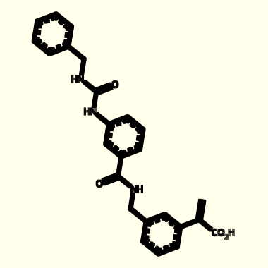 C=C(C(=O)O)c1cccc(CNC(=O)c2cccc(NC(=O)NCc3ccccc3)c2)c1